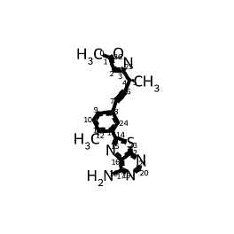 Cc1cc([C@@H](C)C#Cc2ccc(C)c(-c3nc4c(N)ncnc4s3)c2)no1